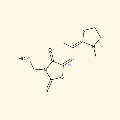 CC(/C=C1/SC(=S)N(CC(=O)O)C1=O)=C1\SCCN1C